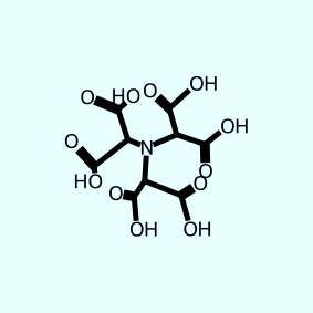 O=C(O)C(C(=O)O)N(C(C(=O)O)C(=O)O)C(C(=O)O)C(=O)O